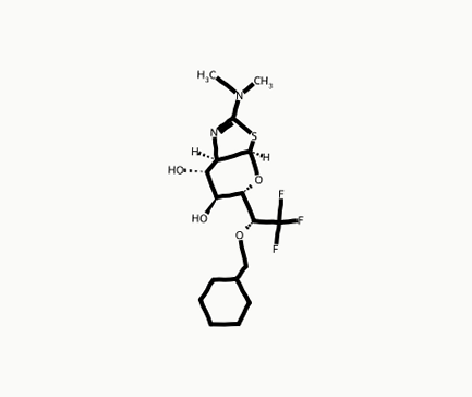 CN(C)C1=N[C@@H]2[C@@H](O)[C@H](O)[C@@H]([C@@H](OCC3CCCCC3)C(F)(F)F)O[C@@H]2S1